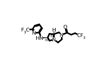 O=C(CCC(F)(F)F)N1CCN2C[C@@H](Nc3cccc(C(F)(F)F)n3)C[C@H]2C1